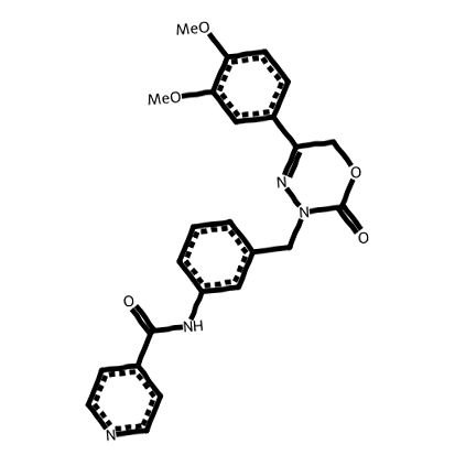 COc1ccc(C2=NN(Cc3cccc(NC(=O)c4ccncc4)c3)C(=O)OC2)cc1OC